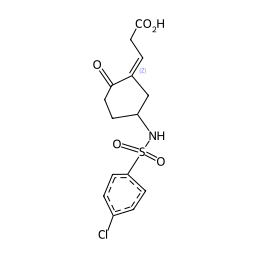 O=C(O)C/C=C1/CC(NS(=O)(=O)c2ccc(Cl)cc2)CCC1=O